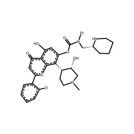 CCN(C[C@H]1CCCCN1)C(=O)Oc1cc(O)c2c(=O)cc(-c3ccccc3Cl)oc2c1[C@H]1CCN(C)C[C@H]1O